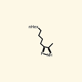 CCCCCCCCCCc1p[nH]cc1C